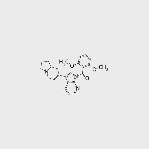 COc1cccc(OC)c1C(=O)n1cc(C2=CCN3CCCC3C2)c2cccnc21